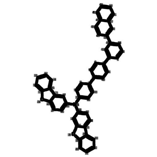 c1cc(-c2ccc(-c3ccc(N(c4ccc5c(c4)oc4ccccc45)c4ccc5oc6ccccc6c5c4)cc3)cc2)cc(-c2ccc3ccccc3c2)c1